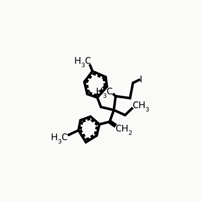 C=C(c1ccc(C)cc1)C(CC)(Cc1ccc(C)cc1)C(C)CCI